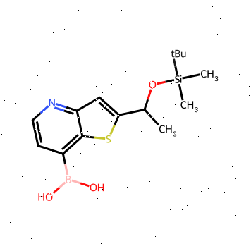 CC(O[Si](C)(C)C(C)(C)C)c1cc2nccc(B(O)O)c2s1